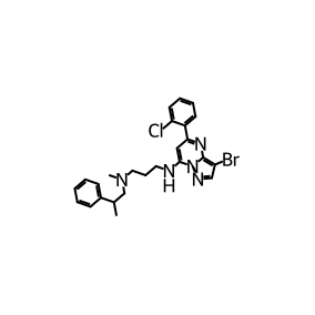 CC(CN(C)CCCNc1cc(-c2ccccc2Cl)nc2c(Br)cnn12)c1ccccc1